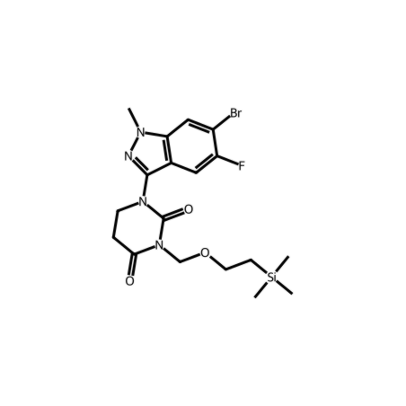 Cn1nc(N2CCC(=O)N(COCC[Si](C)(C)C)C2=O)c2cc(F)c(Br)cc21